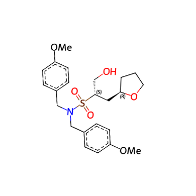 COc1ccc(CN(Cc2ccc(OC)cc2)S(=O)(=O)[C@H](CO)C[C@H]2CCCO2)cc1